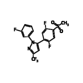 CS(=O)(=O)c1cc(F)c(-c2cc(C(F)(F)F)nn2-c2cccc(F)c2)cc1F